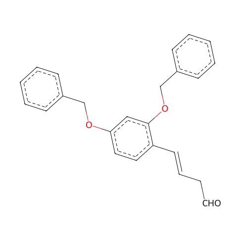 O=CCC=Cc1ccc(OCc2ccccc2)cc1OCc1ccccc1